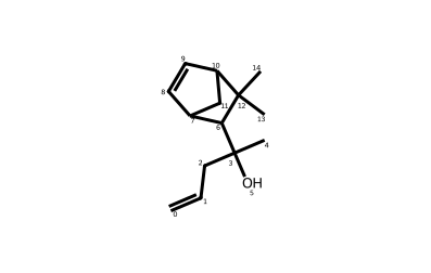 C=CCC(C)(O)C1C2C=CC(C2)C1(C)C